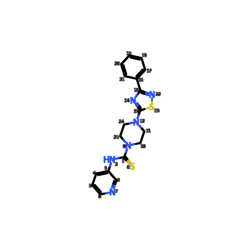 S=C(Nc1cccnc1)N1CCN(c2nc(-c3ccccc3)ns2)CC1